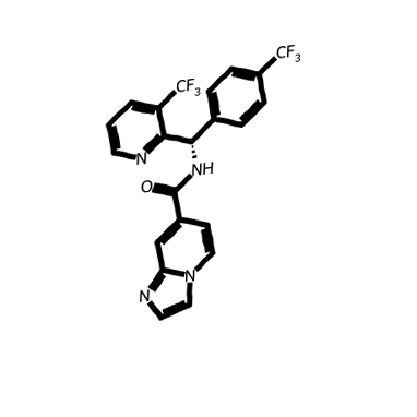 O=C(N[C@@H](c1ccc(C(F)(F)F)cc1)c1ncccc1C(F)(F)F)c1ccn2ccnc2c1